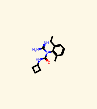 CCc1cccc(C)c1N(C(=N)N)C(=O)NC1CCC1